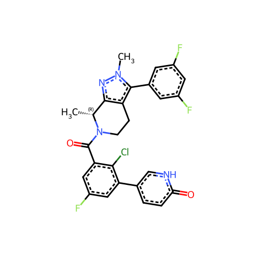 C[C@@H]1c2nn(C)c(-c3cc(F)cc(F)c3)c2CCN1C(=O)c1cc(F)cc(-c2ccc(=O)[nH]c2)c1Cl